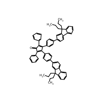 CCCC1(CCC)c2ccccc2-c2ccc(-c3ccc(C4=C(c5ccccc5)C(=O)C(c5ccccc5)=C4c4ccc(-c5ccc6c(c5)C(CCC)(CCC)c5ccccc5-6)cc4)cc3)cc21